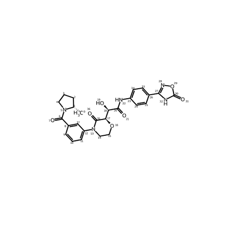 C[C@H]1CCCN1C(=O)c1cccc(N2CCO[C@H]([C@@H](O)C(=O)Nc3ccc(-c4noc(=O)[nH]4)cc3)C2=O)c1